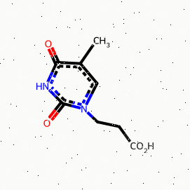 Cc1cn(CCC(=O)O)c(=O)[nH]c1=O